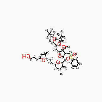 C=C1CC(CCCO)OC1CC[C@H]1C[C@@H](C)C(=C)C(CC2OC(CC(CO[Si](C)(C)C(C)(C)C)O[Si](C)(C)C(C)(C)C)[C@H](OC)[C@H]2CS(=O)(=O)c2ccccc2)O1